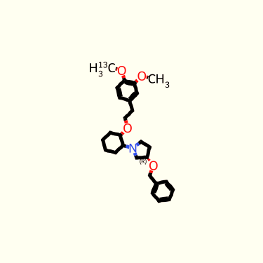 COc1cc(CCOC2CCCCC2N2CC[C@@H](OCc3ccccc3)C2)ccc1O[13CH3]